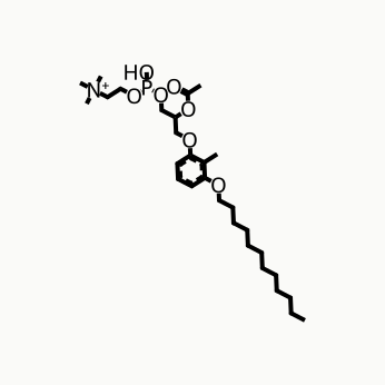 CCCCCCCCCCCCOc1cccc(OCC(COP(O)OCC[N+](C)(C)C)OC(C)=O)c1C